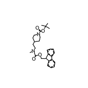 CN(CCC1CCN(C(=O)OC(C)(C)C)CC1)C(=O)OCC1c2ccccc2-c2ccccc21